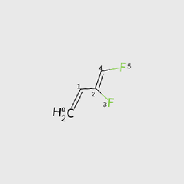 C=CC(F)=CF